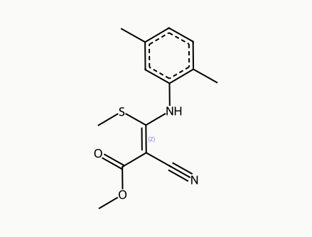 COC(=O)/C(C#N)=C(/Nc1cc(C)ccc1C)SC